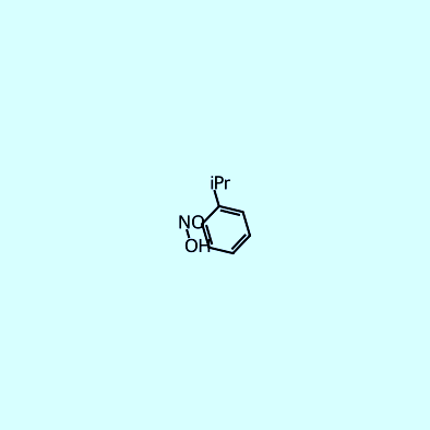 CC(C)c1ccccc1.O=NO